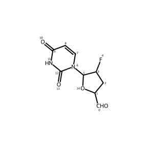 O=CC1CC(F)C(n2ccc(=O)[nH]c2=O)O1